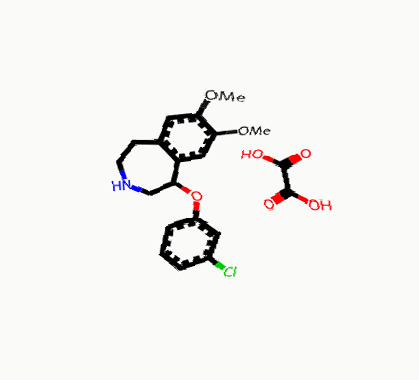 COc1cc2c(cc1OC)C(Oc1cccc(Cl)c1)CNCC2.O=C(O)C(=O)O